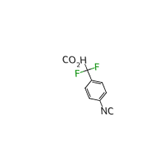 [C-]#[N+]c1ccc(C(F)(F)C(=O)O)cc1